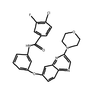 O=C(Nc1cccc(Oc2ccc3ncc(N4CCOCC4)nc3c2)c1)c1ccc(Cl)c(F)c1